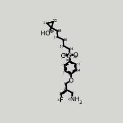 NC/C(=C\F)COc1ccc(S(=O)(=O)CCCCCC2(O)CC2)cc1